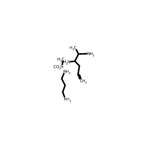 C=CCC(N)C(C)N.CC(=O)O.NCCCN